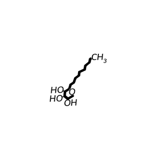 CCCCCCCCCCC1OC[C@@H](O)[C@H](O)[C@H]1O